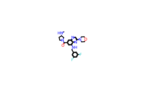 CN[C@H]1CCN(C(=O)c2cc(NCc3cc(F)cc(F)c3)c3nc(N4CCOCC4)cnc3c2)C1